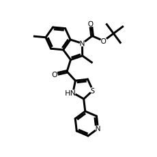 Cc1ccc2c(c1)c(C(=O)C1=CSC(c3cccnc3)N1)c(C)n2C(=O)OC(C)(C)C